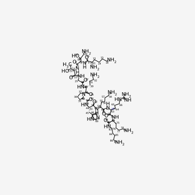 C[C@H](O)[C@H](NC(=O)[C@@H](NC(=O)[C@@H](N)CCCCN)[C@@H](O)CN)C(=O)NCC(=O)N[C@H](CCCN)C(=O)N1CCC[C@H]1C(=O)N[C@@H](Cc1cnc[nH]1)C(=O)N[C@@H](CCCCN)C(=O)N/C(=C\CCNC(=N)N)C(=O)N[C@@H](CCCCN)C(=O)NCCCCN